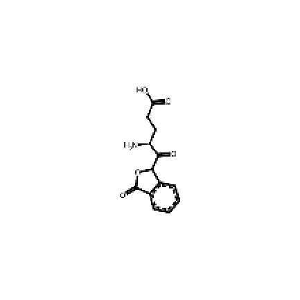 N[C@@H](CCC(=O)O)C(=O)C1OC(=O)c2ccccc21